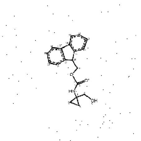 O=C(NC1(CO)CC1)OCC1c2ccccc2-c2ccccc21